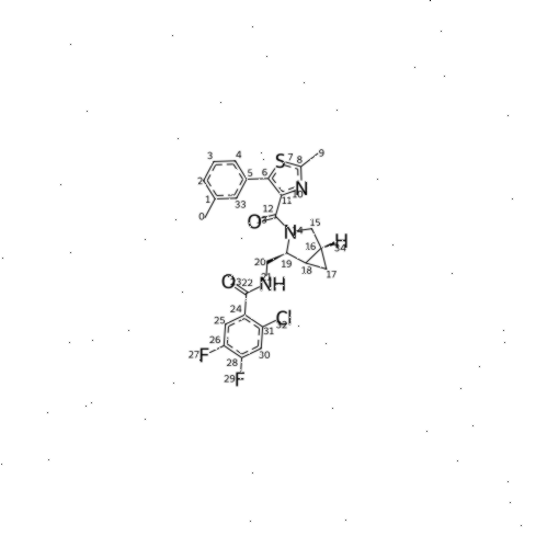 Cc1cccc(-c2sc(C)nc2C(=O)N2C[C@@H]3CC3[C@H]2CNC(=O)c2cc(F)c(F)cc2Cl)c1